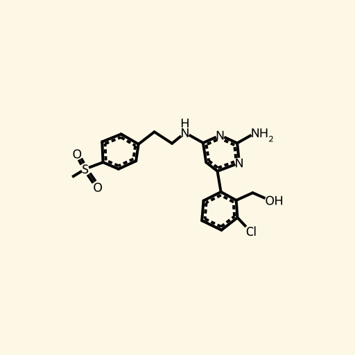 CS(=O)(=O)c1ccc(CCNc2cc(-c3cccc(Cl)c3CO)nc(N)n2)cc1